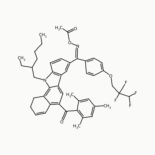 CCCCC(CC)Cn1c2ccc(/C(=N\OC(C)=O)c3ccc(OCC(F)(F)C(F)F)cc3)cc2c2cc(C(=O)c3c(C)cc(C)cc3C)c3c(c21)CCC=C3